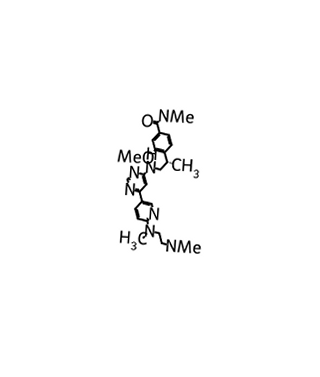 CNCCN(C)c1ccc(-c2cc(NC[C@@H](C)c3ccc(C(=O)NC)cc3OC)ncn2)cn1